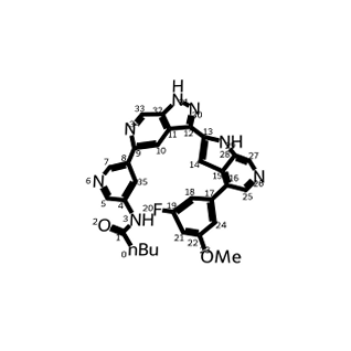 CCCCC(=O)Nc1cncc(-c2cc3c(-c4cc5c(-c6cc(F)cc(OC)c6)cncc5[nH]4)n[nH]c3cn2)c1